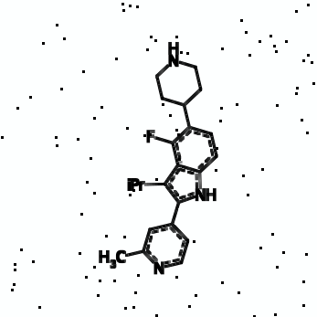 Cc1cc(-c2[nH]c3ccc(C4CCNCC4)c(F)c3c2C(C)C)ccn1